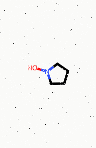 ON1[CH]CCC1